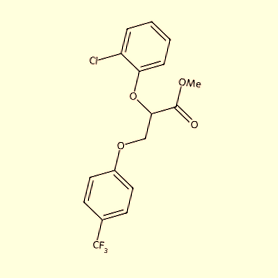 COC(=O)C(COc1ccc(C(F)(F)F)cc1)Oc1ccccc1Cl